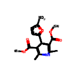 CC1=C(C(=O)OC(C)(C)C)C(c2ccc([N+](=O)[O-])o2)C(C(=O)OC(C)(C)C)=C(C)N1